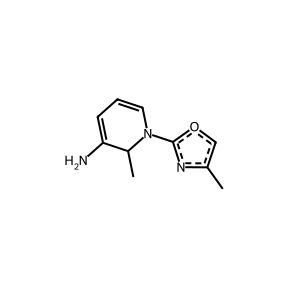 Cc1coc(N2C=CC=C(N)C2C)n1